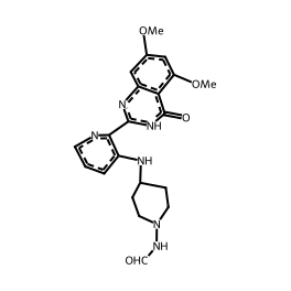 COc1cc(OC)c2c(=O)[nH]c(-c3ncccc3NC3CCN(NC=O)CC3)nc2c1